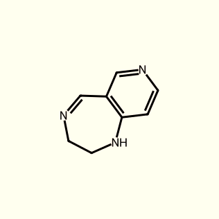 C1=NCCNc2ccncc21